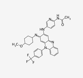 COC1CCC(/N=c2\cc3n(-c4ccc(C(F)(F)F)cc4)c4ccccc4nc-3cc2Nc2ccc(NC(C)=O)nc2)CC1